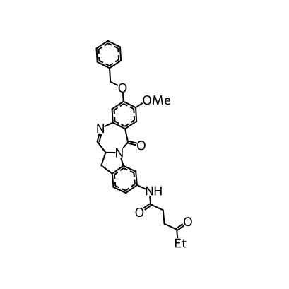 CCC(=O)CCC(=O)Nc1ccc2c(c1)N1C(=O)c3cc(OC)c(OCc4ccccc4)cc3N=CC1C2